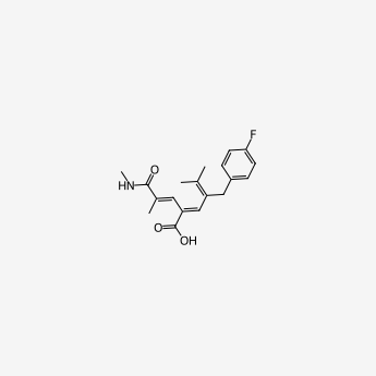 CNC(=O)/C(C)=C/C(=C\C(Cc1ccc(F)cc1)=C(C)C)C(=O)O